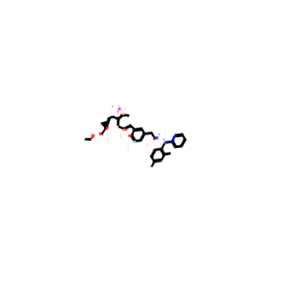 CCOC(=O)C1(OC(c2cc3cc(CC(=O)NC(c4ccccc4)c4ccc(C)cc4C)cc(F)c3o2)c2c(C)noc2C)CC1